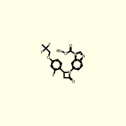 CC(F)(F)COc1ccc(C2CC(=O)N2c2ccc3ncn(C(=O)OC(C)(C)C)c3c2)c(F)c1